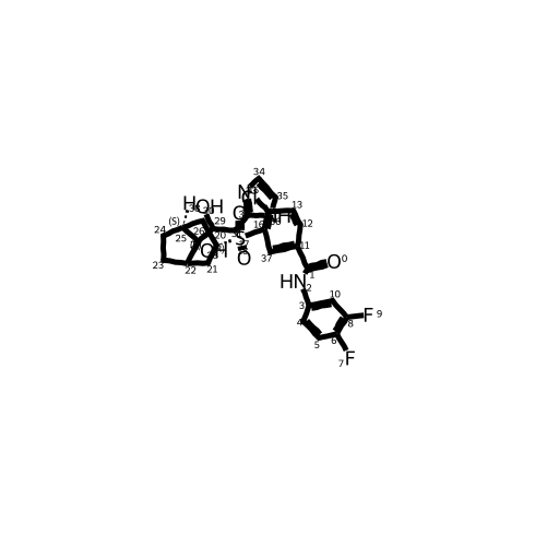 O=C(Nc1ccc(F)c(F)c1)c1ccc(Cl)c(S(=O)(=O)[C@@H]2CC3CC[C@@H](C2)[C@@]3(O)C(O)Cc2ncc[nH]2)c1